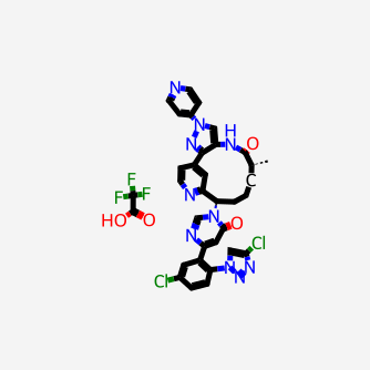 C[C@@H]1CCC[C@H](n2cnc(-c3cc(Cl)ccc3-n3cc(Cl)nn3)cc2=O)c2cc(ccn2)-c2nn(-c3ccncc3)cc2NC1=O.O=C(O)C(F)(F)F